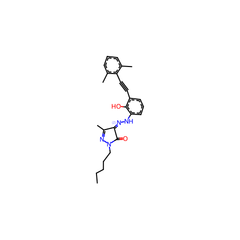 CCCCCN1N=C(C)/C(=N/Nc2cccc(C#Cc3c(C)cccc3C)c2O)C1=O